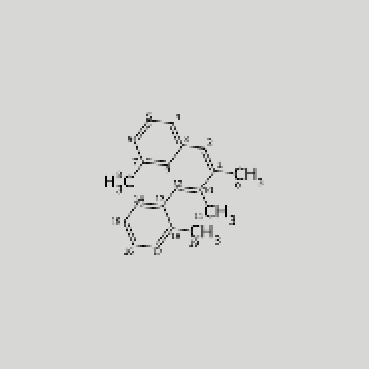 CC(=Cc1cccc(C)c1)C(C)=Cc1ccccc1C